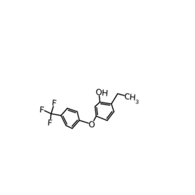 CCc1ccc(Oc2ccc(C(F)(F)F)cc2)cc1O